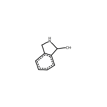 [CH]C1NCc2ccccc21